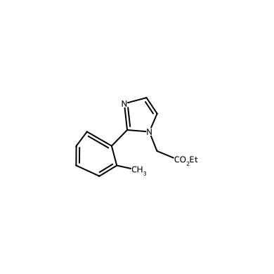 CCOC(=O)Cn1ccnc1-c1ccccc1C